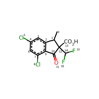 CC1c2cc(Cl)cc(Cl)c2C(=O)C1(C(=O)O)C(F)F